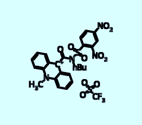 CCCCN(C(=O)[c+]1c2ccccc2n(C)c2ccccc21)S(=O)(=O)c1ccc([N+](=O)[O-])cc1[N+](=O)[O-].O=S(=O)([O-])C(F)(F)F